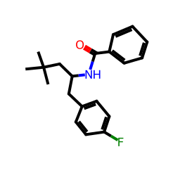 CC(C)(C)CC(Cc1ccc(F)cc1)NC(=O)c1ccccc1